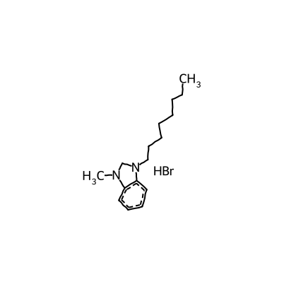 Br.CCCCCCCCN1CN(C)c2ccccc21